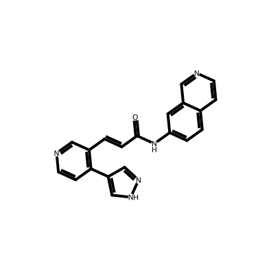 O=C(/C=C/c1cnccc1-c1cn[nH]c1)Nc1ccc2ccncc2c1